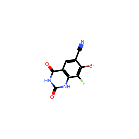 N#Cc1cc2c(=O)[nH]c(=O)[nH]c2c(F)c1Br